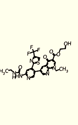 CCNC(=O)Nc1cc(-c2nc(C(F)(F)F)cs2)c(-c2cnc3c(c2)c(=O)c(C(=O)OCCO)cn3CC)cn1